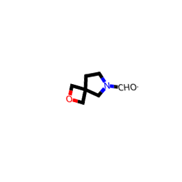 O=[C]N1CCC2(COC2)C1